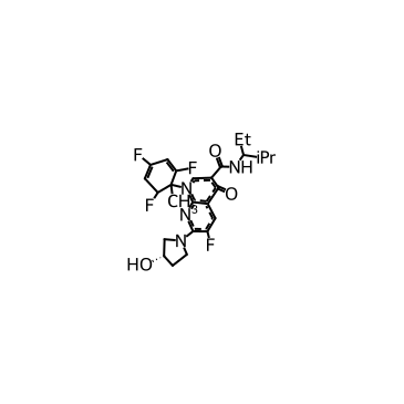 CCC(NC(=O)c1cn(C2(C)C(F)=CC(F)=CC2F)c2nc(N3CC[C@H](O)C3)c(F)cc2c1=O)C(C)C